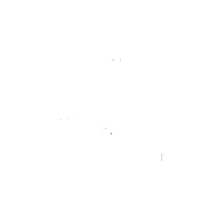 O=C(O)c1ccc(-c2ccccc2O)cc1Nc1ccc(F)cc1